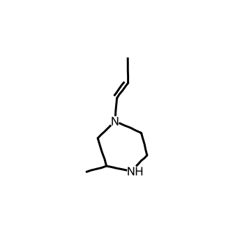 CC=CN1CCNC(C)C1